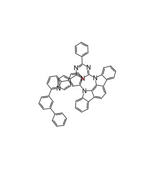 c1ccc(-c2cccc(-c3cccc(-c4cccc(-n5c6ccccc6c6ccc7c8ccccc8n(-c8nc(-c9ccccc9)nc(-c9ccccc9)n8)c7c65)c4)n3)c2)cc1